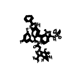 Cn1nc(NS(C)(=O)=O)c2cccc(-c3cc4[nH]c(-c5ccccc5)nc4nc3[C@H](Cc3cc(F)cc(F)c3)NC(=O)Cn3nc(C(F)F)c4c3C(F)(F)[C@@H]3C[C@H]43)c21